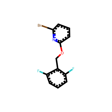 Fc1cccc(F)c1COc1cccc(Br)n1